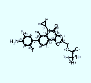 [3H]C([3H])([3H])C(=O)OCc1nc2c(=O)n(C3CC3)c3c(C)c(-c4cc(F)c(N)cc4F)ccc3c2o1